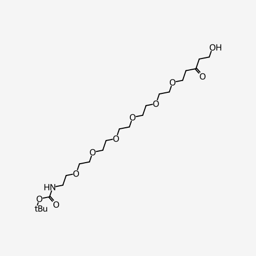 CC(C)(C)OC(=O)NCCOCCOCCOCCOCCOCCOCCC(=O)CCO